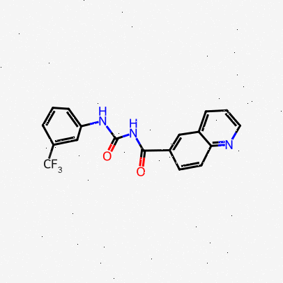 O=C(NC(=O)c1ccc2ncccc2c1)Nc1cccc(C(F)(F)F)c1